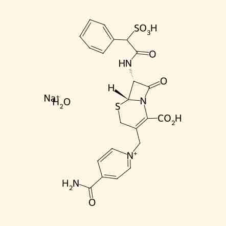 NC(=O)c1cc[n+](CC2=C(C(=O)O)N3C(=O)[C@@H](NC(=O)C(c4ccccc4)S(=O)(=O)O)[C@H]3SC2)cc1.O.[Na+]